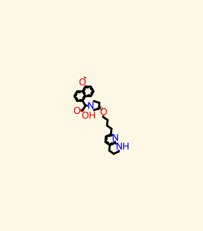 COc1cccc2c(C(C(=O)O)N3CC[C@@H](OCCCCc4ccc5c(n4)NCCC5)C3)cccc12